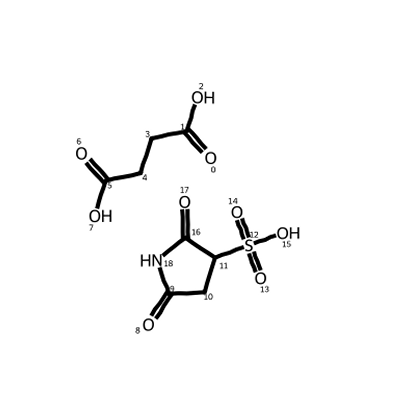 O=C(O)CCC(=O)O.O=C1CC(S(=O)(=O)O)C(=O)N1